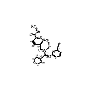 CC1C=CC=CC1[C@H]1COc2cc(C(=O)NO)ccc2CN1C(=O)C1CCOCC1